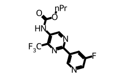 CCCOC(=O)Nc1cnc(-c2cncc(F)c2)nc1C(F)(F)F